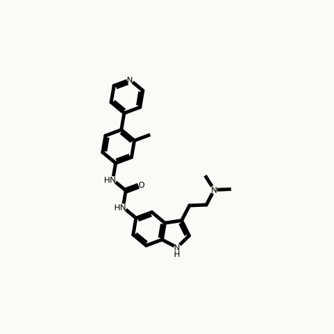 Cc1cc(NC(=O)Nc2ccc3[nH]cc(CCN(C)C)c3c2)ccc1-c1ccncc1